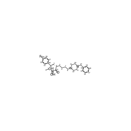 CO[C@H](C[C@H](CCCCN1CCN(Cc2ccccc2)CC1)C(=O)NO)c1ccc(F)cc1